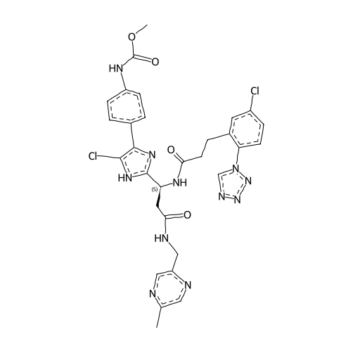 COC(=O)Nc1ccc(-c2nc([C@H](CC(=O)NCc3cnc(C)cn3)NC(=O)CCc3cc(Cl)ccc3-n3cnnn3)[nH]c2Cl)cc1